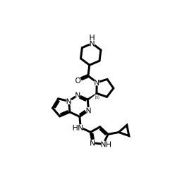 O=C(C1CCNCC1)N1CCC[C@H]1c1nc(Nc2cc(C3CC3)[nH]n2)c2cccn2n1